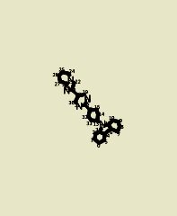 c1ccc2c(c1)c1ccccc1n2-c1ccc(-c2ncc(-c3cn4ccccc4n3)cn2)cc1